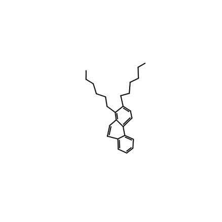 CCCCCCc1ccc2c(ccc3ccccc32)c1CCCCCC